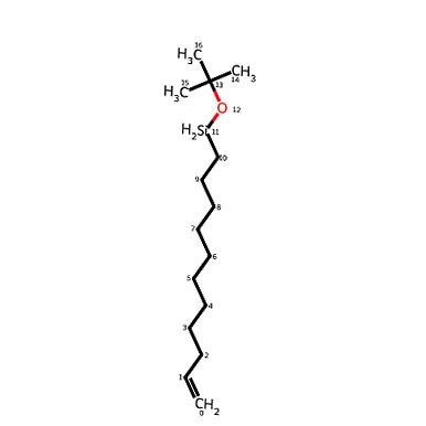 C=CCCCCCCCCC[SiH2]OC(C)(C)C